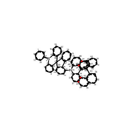 c1ccc(N2c3ccccc3C3(c4ccccc4-c4c(N(c5ccccc5-c5ccccc5-c5cccc6ccccc56)c5cccc6c5sc5ccccc56)cccc43)c3ccccc32)cc1